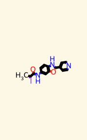 CC(I)C(=O)Nc1ccc2c(c1)OC(c1ccncc1)N2